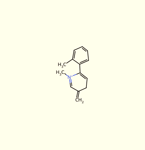 C=C1C=[N+](C)C(c2ccccc2C)=CC1